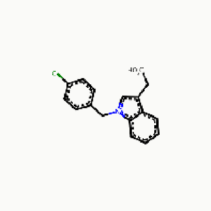 O=C(O)Cc1cn(Cc2ccc(Cl)cc2)c2ccccc12